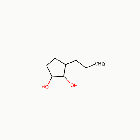 O=CCCC1CCC(O)C1O